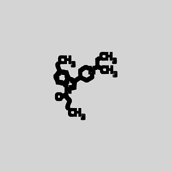 CCCC(=O)n1cc(C2CCN(C(C)CC)CC2)c2cc(CC)ccc21